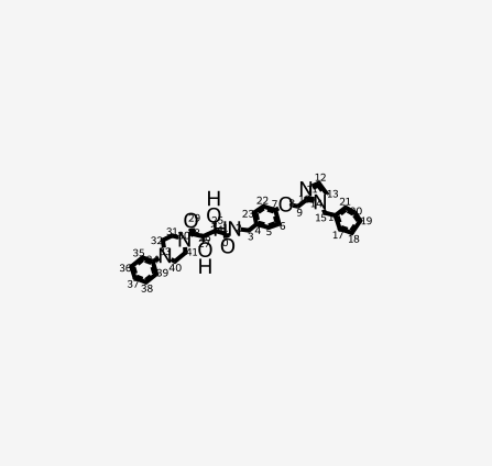 O=C(NCc1ccc(OCc2nccn2Cc2ccccc2)cc1)[C@H](O)[C@@H](O)C(=O)N1CCN(c2ccccc2)CC1